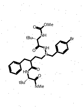 CNC(=O)[C@@H](NC(=O)C(CCN(Cc1ccc(Br)cc1)NC(=O)[C@@H](NC(=O)OC)C(C)(C)C)Cc1ccccc1)C(C)(C)C